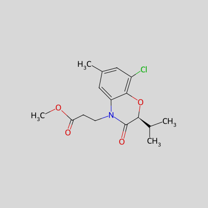 COC(=O)CCN1C(=O)[C@H](C(C)C)Oc2c(Cl)cc(C)cc21